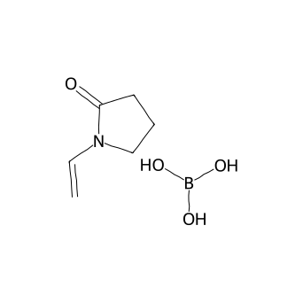 C=CN1CCCC1=O.OB(O)O